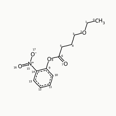 CCOCCCC(=O)Oc1ccccc1[N+](=O)[O-]